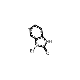 CCn1c(=O)[nH]c2cc[c]cc21